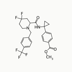 COC(=O)c1ccc(C2(NC(=O)C3CC(F)(F)CCN3Cc3ccc(C(F)(F)F)cc3)CC2)cc1